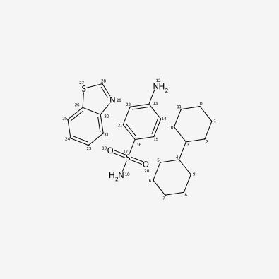 C1CCC(C2CCCCC2)CC1.Nc1ccc(S(N)(=O)=O)cc1.c1ccc2scnc2c1